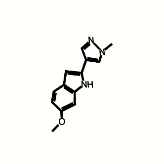 COc1ccc2cc(-c3cnn(C)c3)[nH]c2c1